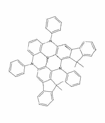 CC1(C)c2ccccc2-c2cc3c4c(c21)N(c1ccccc1)c1c2c(cc5c1[Si]4(C)c1c(cccc1N5c1ccccc1)N3c1ccccc1)-c1ccccc1C2(C)C